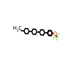 CCC1CCC(C2CCC(C3CCC(c4ccc(OC(F)(F)F)cc4)CC3)CC2)CC1